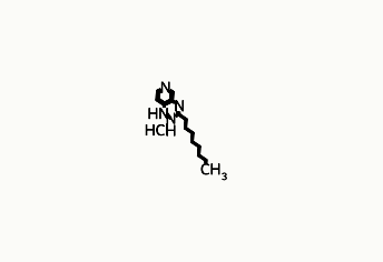 CCCCCCCCC1=Nc2cnccc2NN1.Cl